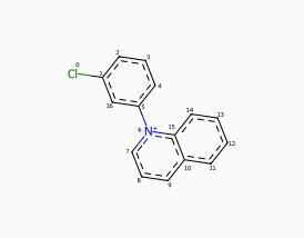 Clc1cccc(-[n+]2cccc3ccccc32)c1